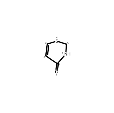 O=C1C=[C]SCN1